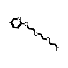 FCCOCCOCCOc1cc[c]cn1